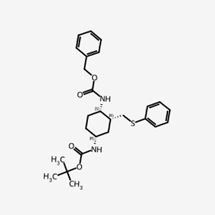 CC(C)(C)OC(=O)N[C@@H]1CC[C@H](NC(=O)OCc2ccccc2)[C@H](CSc2ccccc2)C1